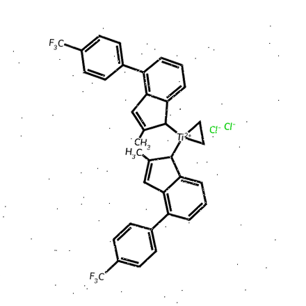 CC1=Cc2c(-c3ccc(C(F)(F)F)cc3)cccc2[CH]1[Ti+2]1([CH]2C(C)=Cc3c(-c4ccc(C(F)(F)F)cc4)cccc32)[CH2][CH2]1.[Cl-].[Cl-]